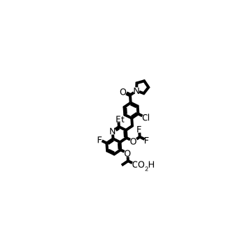 CCc1nc2c(F)ccc(OC(C)C(=O)O)c2c(OC(F)F)c1Cc1ccc(C(=O)N2CCCC2)cc1Cl